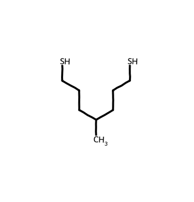 CC(CCCS)CCCS